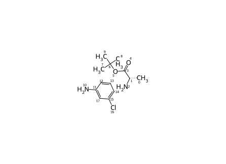 C[C@H](N)C(=O)OC(C)(C)C.Nc1cccc(Cl)c1